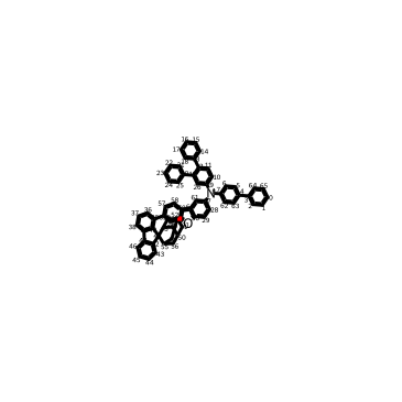 c1ccc(-c2ccc(N(c3ccc(-c4ccccc4)c(-c4ccccc4)c3)c3ccc4oc5cc(-c6cccc7c6C6(c8ccccc8-7)C7CC8CC(C7)CC6C8)ccc5c4c3)cc2)cc1